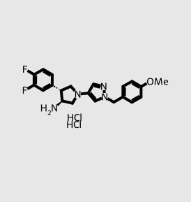 COc1ccc(Cn2cc(N3C[C@@H](N)[C@H](c4ccc(F)c(F)c4)C3)cn2)cc1.Cl.Cl